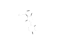 CCC(C)c1cccc2c1C(=O)N(C1CCC(=O)NC1=O)C2